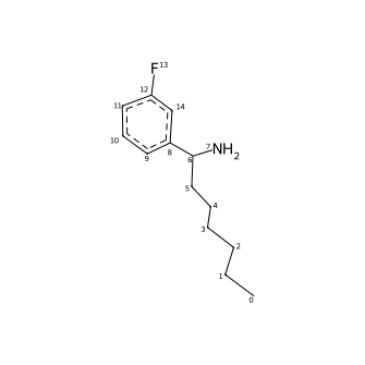 CCCCCCC(N)c1cccc(F)c1